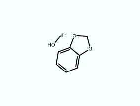 CC(C)O.c1ccc2c(c1)OCO2